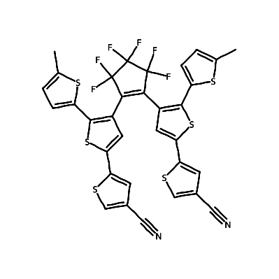 Cc1ccc(-c2sc(-c3cc(C#N)cs3)cc2C2=C(c3cc(-c4cc(C#N)cs4)sc3-c3ccc(C)s3)C(F)(F)C(F)(F)C2(F)F)s1